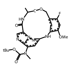 COc1cc(F)c2cc1Nc1cc(N(C)C(=O)OC(C)(C)C)c3ncc(n3n1)C(=O)NC(C)COC2